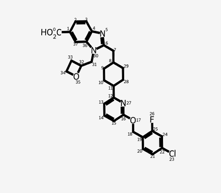 O=C(O)c1ccc2nc(CC3CCC(c4cccc(OCc5ccc(Cl)cc5F)n4)CC3)n(CC3CCO3)c2c1